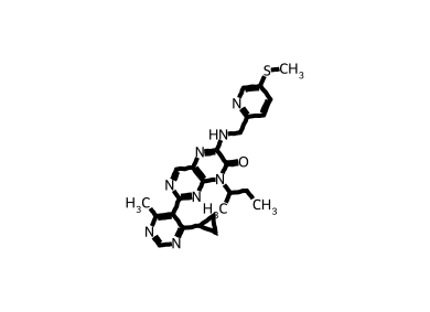 CCC(C)n1c(=O)c(NCc2ccc(SC)cn2)nc2cnc(-c3c(C)ncnc3C3CC3)nc21